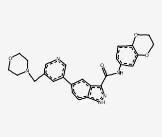 O=C(Nc1ccc2c(c1)OCCO2)c1n[nH]c2ccc(-c3cncc(CN4CCOCC4)c3)cc12